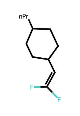 CCCC1CCC(C=C(F)F)CC1